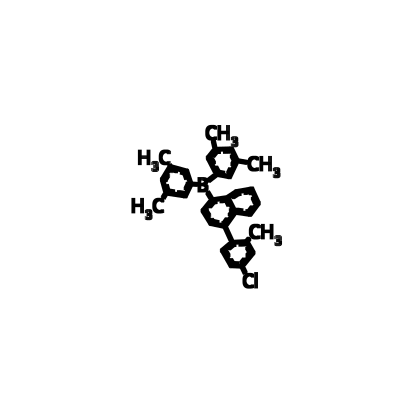 Cc1cc(C)cc(B(c2cc(C)cc(C)c2)c2ccc(-c3ccc(Cl)cc3C)c3ccccc23)c1